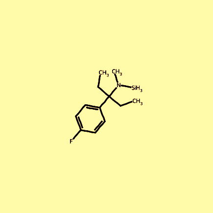 CCC(CC)(c1ccc(F)cc1)N(C)[SiH3]